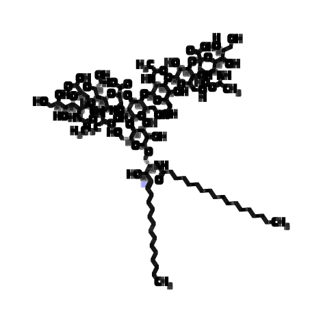 CCCCCCCCCCCCC/C=C/[C@@H](O)[C@H](CO[C@@H]1O[C@H](CO)[C@@H](O[C@@H]2O[C@H](CO)[C@H](O[C@@H]3O[C@H](CO)[C@H](O)[C@H](O[C@@H]4O[C@H](CO)[C@H](O)[C@H](O[C@]5(C(=O)O)C[C@H](O)[C@@H](NC(C)=O)[C@H]([C@H](O)[C@H](O)CO)O5)[C@H]4O)[C@H]3NC(C)=O)[C@H](O[C@]3(C(=O)O)C[C@H](O)[C@@H](NC(C)=O)[C@H]([C@H](O)[C@@H](CO)O[C@]4(C(=O)O)C[C@H](O)[C@@H](NC(C)=O)[C@H]([C@H](O)[C@H](O)CO)O4)O3)[C@H]2O)[C@H](O)[C@H]1O)NC(=O)CCCCCCCCCCCCCCCCC